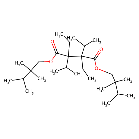 CCC(C(=O)OCC(C)(C)C(C)C)(C(C)C)C(CC)(C(=O)OCC(C)(C)C(C)C)C(C)C